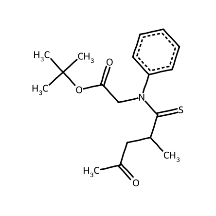 CC(=O)CC(C)C(=S)N(CC(=O)OC(C)(C)C)c1ccccc1